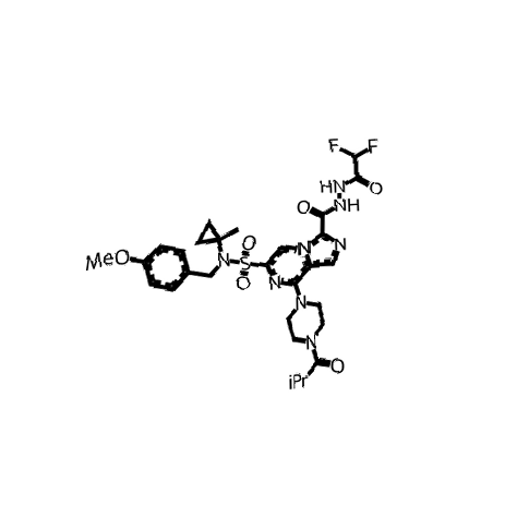 COc1ccc(CN(C2(C)CC2)S(=O)(=O)c2cn3c(C(=O)NNC(=O)C(F)F)ncc3c(N3CCN(C(=O)C(C)C)CC3)n2)cc1